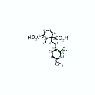 CC1C(C(=O)O)=CC=CC1(CCc1ccc(C(F)(F)F)cc1Cl)C(=O)O